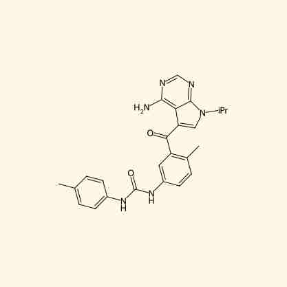 Cc1ccc(NC(=O)Nc2ccc(C)c(C(=O)c3cn(C(C)C)c4ncnc(N)c34)c2)cc1